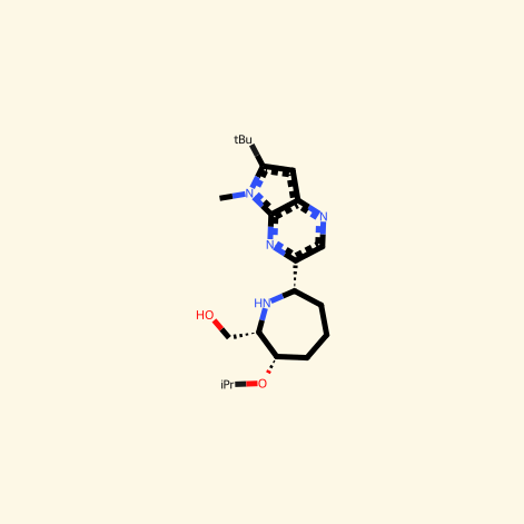 CC(C)O[C@H]1CCC[C@@H](c2cnc3cc(C(C)(C)C)n(C)c3n2)N[C@H]1CO